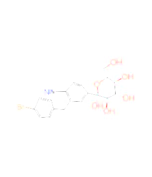 N#Cc1ccc([C@@]2(O)O[C@H](CO)[C@@H](O)[C@H](O)[C@H]2O)cc1Cc1ccc(Br)cc1